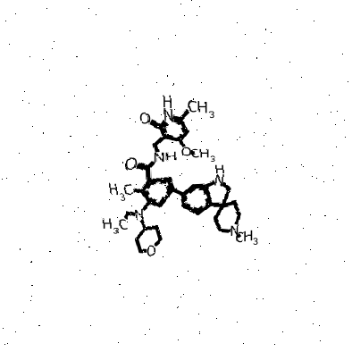 CCN(c1cc(-c2ccc3c(c2)NCC32CCN(C)CC2)cc(C(=O)NCc2c(OC)cc(C)[nH]c2=O)c1C)C1CCOCC1